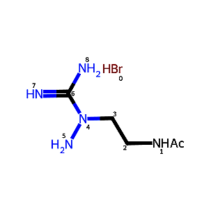 Br.CC(=O)NCCN(N)C(=N)N